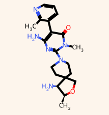 Cc1ncccc1-c1c(N)nc(N2CCC3(CC2)CO[C@@H](C)[C@H]3N)n(C)c1=O